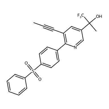 CC#Cc1cc(C(C)(O)C(F)(F)F)cnc1-c1ccc(S(=O)(=O)c2ccccc2)cc1